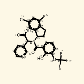 NC(=O)C(c1cccnc1)N(C(=O)c1cccc(OC(F)(F)F)c1O)[C@@H]1CCc2c(F)cc(Cl)cc21